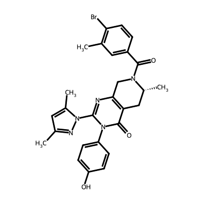 Cc1cc(C)n(-c2nc3c(c(=O)n2-c2ccc(O)cc2)C[C@@H](C)N(C(=O)c2ccc(Br)c(C)c2)C3)n1